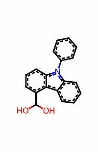 OC(O)c1cccc2c1c1ccccc1n2-c1ccccc1